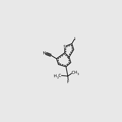 CC(C)(F)c1cc(C#N)c2sc(I)cc2c1